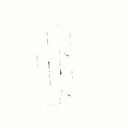 C[C@@]12CCC[C@H]1[C@@H]1CCC3CCC(C(=O)O)C[C@]3(C)[C@@H]1CC2